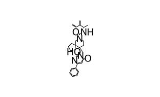 C=CC(=C)C(C)NC(=O)N1CCC(O)(Cn2cnc(-c3ccccc3)cc2=O)C2(CCCC2)C1